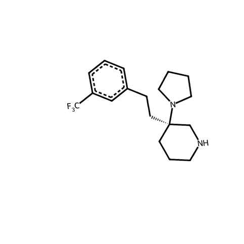 FC(F)(F)c1cccc(CC[C@@]2(N3CCCC3)CCCNC2)c1